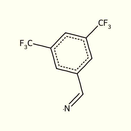 [N]=Cc1cc(C(F)(F)F)cc(C(F)(F)F)c1